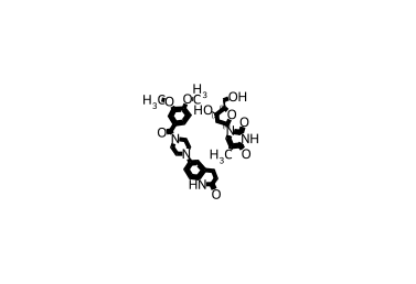 COc1ccc(C(=O)N2CCN(c3ccc4c(c3)CCC(=O)N4)CC2)cc1OC.Cc1cn([C@H]2C[C@H](O)[C@@H](CO)O2)c(=O)[nH]c1=O